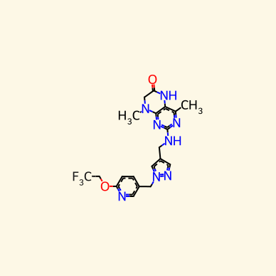 Cc1nc(NCc2cnn(Cc3ccc(OCC(F)(F)F)nc3)c2)nc2c1NC(=O)CN2C